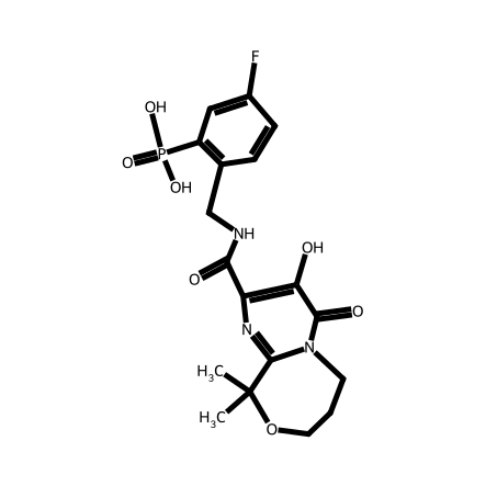 CC1(C)OCCCn2c1nc(C(=O)NCc1ccc(F)cc1P(=O)(O)O)c(O)c2=O